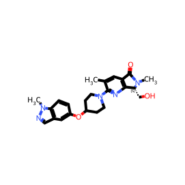 Cc1cc2c(nc1N1CCC(Oc3ccc4c(cnn4C)c3)CC1)[C@@H](CO)N(C)C2=O